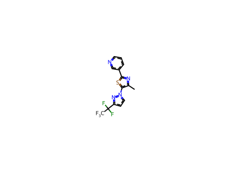 Cc1nc(-c2cccnc2)sc1-n1ccc(C(F)(F)C(F)(F)F)n1